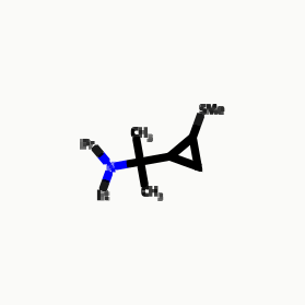 CCN(C(C)C)C(C)(C)C1CC1SC